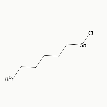 CCCCCCC[CH2][Sn][Cl]